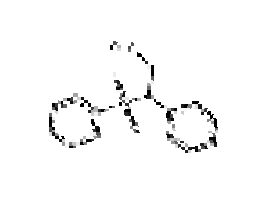 O=CCC(c1ccccc1)S(=O)(=O)c1ccccc1